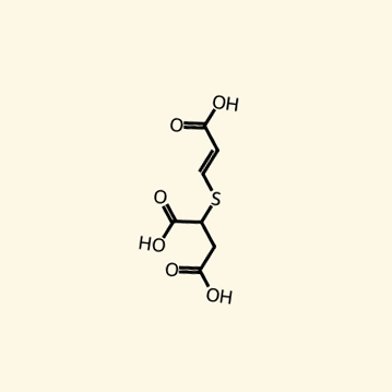 O=C(O)C=CSC(CC(=O)O)C(=O)O